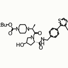 Cc1ncsc1-c1ccc(CNC(=O)[C@@H]2C[C@@H](O)CN2C(=O)[C@H](C)N2CCN(C(=O)OC(C)(C)C)CC2)cc1